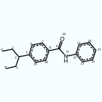 CCC(CC)c1ccc(C(=O)Nc2ccccc2)cc1